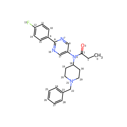 CCC(=O)N(c1cnc(-c2ccc(F)cc2)nc1)C1CCN(Cc2ccccc2)CC1